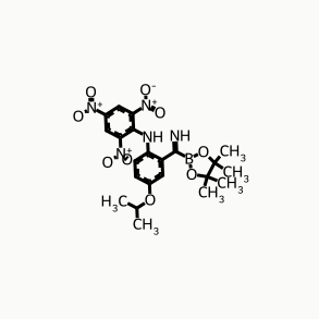 CC(C)Oc1ccc(Nc2c([N+](=O)[O-])cc([N+](=O)[O-])cc2[N+](=O)[O-])c(C(=N)B2OC(C)(C)C(C)(C)O2)c1